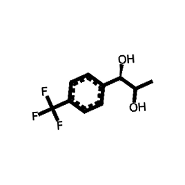 CC(O)[C@H](O)c1ccc(C(F)(F)F)cc1